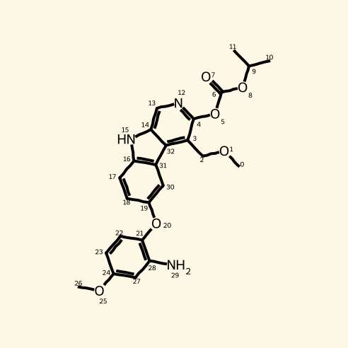 COCc1c(OC(=O)OC(C)C)ncc2[nH]c3ccc(Oc4ccc(OC)cc4N)cc3c12